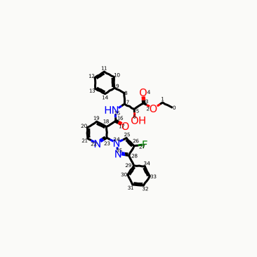 CCOC(=O)C(O)C(Cc1ccccc1)NC(=O)c1cccnc1-n1cc(F)c(-c2ccccc2)n1